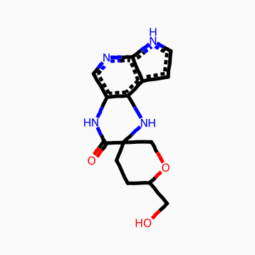 O=C1Nc2cnc3[nH]ccc3c2NC12CCC(CO)OC2